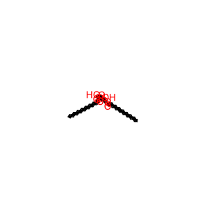 CCCCCCCCCCCCCCCC(=O)OCC(O)C(OC(=O)CCCCCCCCCCCCCCC)C(=O)CO